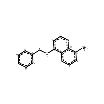 Nc1cccc2c(OCc3ccccc3)ccnc12